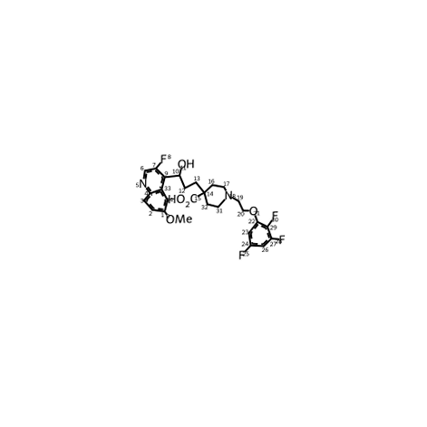 COc1ccc2ncc(F)c(C(O)CCC3(C(=O)O)CCN(CCOc4cc(F)cc(F)c4F)CC3)c2c1